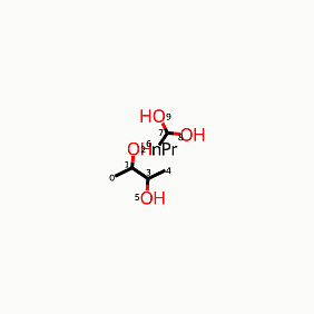 CC(O)C(C)O.CCCC(O)O